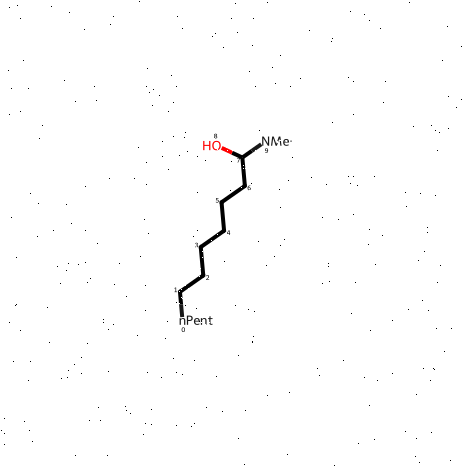 CCCCCCCCCCCC(O)[N]C